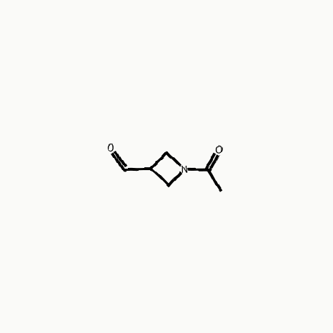 CC(=O)N1CC(C=O)C1